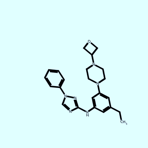 CCc1cc(Nc2ncn(-c3ccccc3)n2)cc(N2CCN(C3COC3)CC2)c1